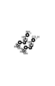 CC(C)(C)NS(=O)(=O)c1cccc(-c2ccc3cnc(Nc4cccc(C(=O)O)c4)nn23)c1.CC(C)(C)NS(=O)(=O)c1cccc(-c2ccc3cnc(Nc4cccc(N)c4)nn23)c1